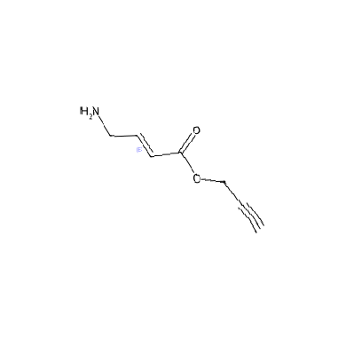 C#CCOC(=O)/C=C/CN